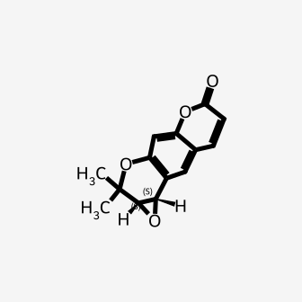 CC1(C)Oc2cc3oc(=O)ccc3cc2[C@@H]2O[C@@H]21